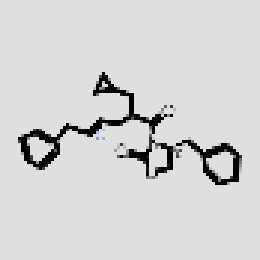 O=C1OC[C@H](Cc2ccccc2)N1C(=O)C(C/C=C/Cc1ccccc1)CC1CC1